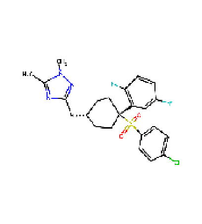 Cc1nc(C[C@H]2CC[C@@](c3cc(F)ccc3F)(S(=O)(=O)c3ccc(Cl)cc3)CC2)nn1C